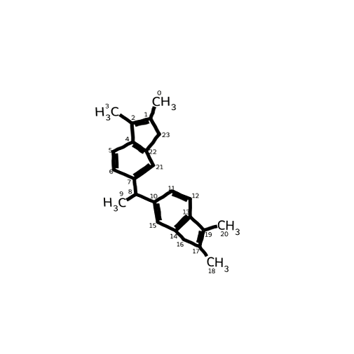 CC1=C(C)c2ccc(C(C)c3ccc4c(c3)CC(C)=C4C)cc2C1